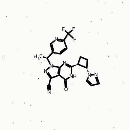 C[C@@H](c1ccc(C(F)(F)F)nc1)n1nc(C#N)c2c(=O)[nH]c([C@H]3CC[C@@H]3n3cccn3)nc21